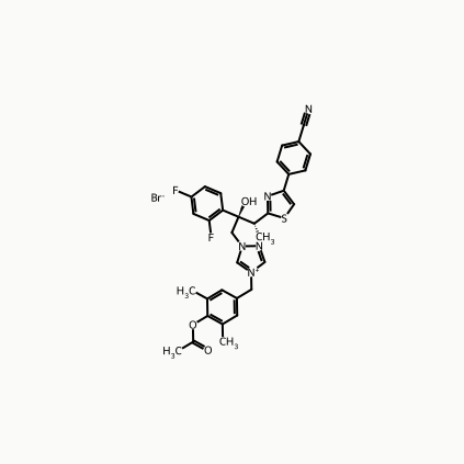 CC(=O)Oc1c(C)cc(C[n+]2cnn(C[C@](O)(c3ccc(F)cc3F)[C@@H](C)c3nc(-c4ccc(C#N)cc4)cs3)c2)cc1C.[Br-]